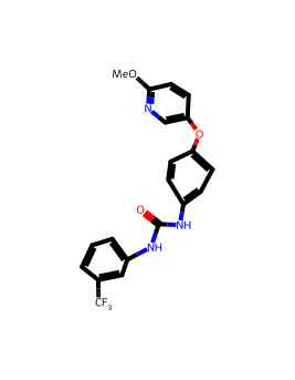 COc1ccc(Oc2ccc(NC(=O)Nc3cccc(C(F)(F)F)c3)cc2)cn1